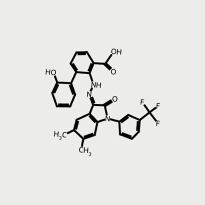 Cc1cc2c(cc1C)N(c1cccc(C(F)(F)F)c1)C(=O)C2=NNc1c(C(=O)O)cccc1-c1ccccc1O